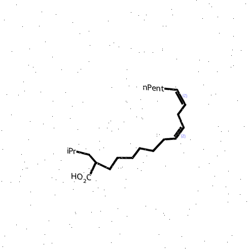 CCCCC/C=C\C/C=C\CCCCCCC(CC(C)C)C(=O)O